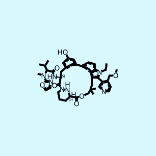 CCn1c(-c2cnccc2COC)c2c3cc(ccc31)-c1cc(O)cc(c1)C[C@H](NC(=O)C(C(C)C)N(C)c1ncco1)C(=O)N1CCC[C@H](N1)C(=O)OCC(C)(C)C2